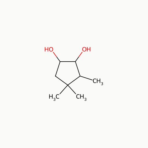 CC1C(O)C(O)CC1(C)C